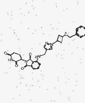 O=C1CCC(N2C(=O)c3cccc(NCc4cnn(C5CC(OCc6ccccc6)C5)c4)c3C2=O)C(=O)N1